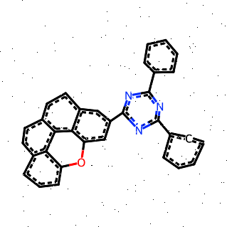 c1ccc(-c2nc(-c3ccccc3)nc(-c3cc4c5c(ccc6ccc7cccc(c7c65)O4)c3)n2)cc1